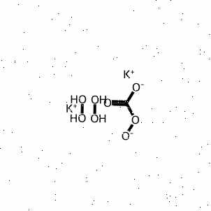 O=C([O-])O[O-].OO.OO.[K+].[K+]